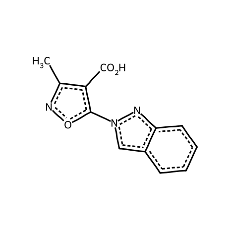 Cc1noc(-n2cc3ccccc3n2)c1C(=O)O